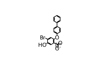 O=[N+]([O-])c1cc(O)c(Br)cc1Oc1ccc(-c2ccccc2)cc1